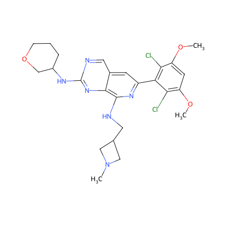 COc1cc(OC)c(Cl)c(-c2cc3cnc(NC4CCCOC4)nc3c(NCC3CN(C)C3)n2)c1Cl